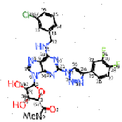 CNC(=O)[C@H]1OC(n2cnc3c(NCc4cccc(Cl)c4)nc(-n4cc(-c5ccc(F)c(F)c5)nn4)nc32)[C@H](O)[C@@H]1O